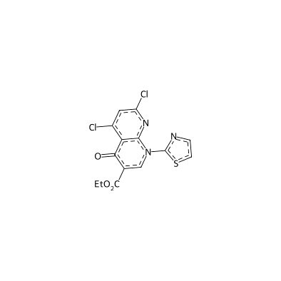 CCOC(=O)c1cn(-c2nccs2)c2nc(Cl)cc(Cl)c2c1=O